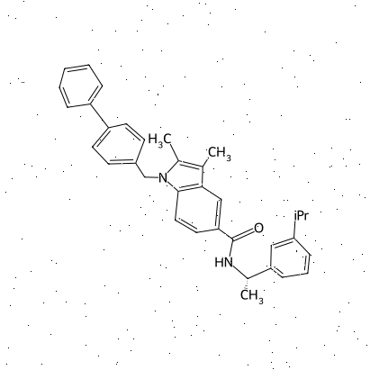 Cc1c(C)n(Cc2ccc(-c3ccccc3)cc2)c2ccc(C(=O)N[C@@H](C)c3cccc(C(C)C)c3)cc12